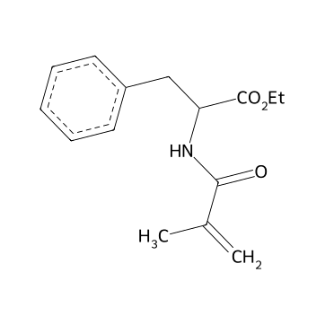 C=C(C)C(=O)NC(Cc1ccccc1)C(=O)OCC